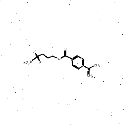 C=C(C)c1ccc(C(=O)OCCCC(F)(F)S(=O)(=O)O)cc1